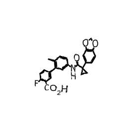 Cc1ccc(NC(=O)C2(c3ccc4c(c3)OCO4)CC2)cc1-c1ccc(F)c(C(=O)O)c1